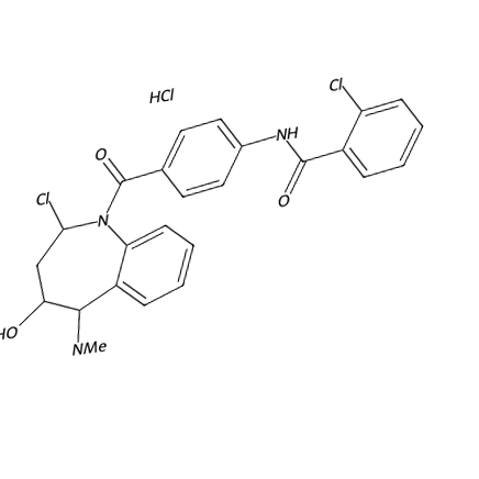 CNC1c2ccccc2N(C(=O)c2ccc(NC(=O)c3ccccc3Cl)cc2)C(Cl)CC1O.Cl